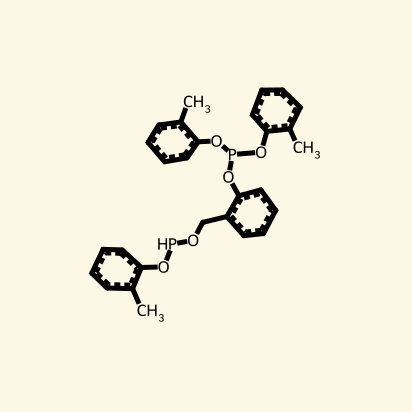 Cc1ccccc1OPOCc1ccccc1OP(Oc1ccccc1C)Oc1ccccc1C